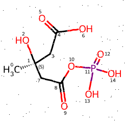 C[C@](O)(CC(=O)O)CC(=O)OP(=O)(O)O